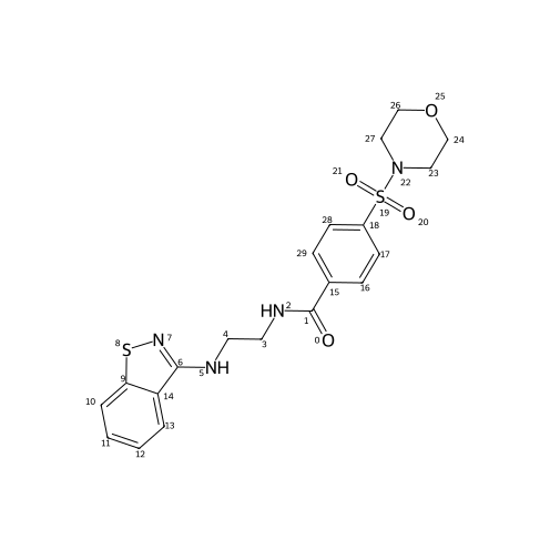 O=C(NCCNc1nsc2ccccc12)c1ccc(S(=O)(=O)N2CCOCC2)cc1